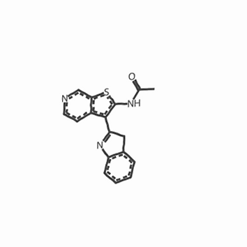 CC(=O)Nc1sc2cnccc2c1C1=Nc2ccccc2C1